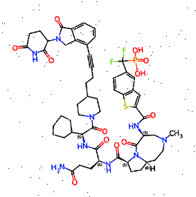 CN1CC[C@H]2CC[C@@H](C(=O)N[C@@H](CCC(N)=O)C(=O)N[C@H](C(=O)N3CCC(CCC#Cc4cccc5c4CN(C4CCC(=O)NC4=O)C5=O)CC3)C3CCCCC3)N2C(=O)[C@@H](NC(=O)c2cc3cc(C(F)(F)P(=O)(O)O)ccc3s2)C1